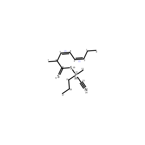 CC/C=C\C=C/C(C)C(=S)S[PH](C)(C#N)CCC